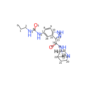 CCCNC(=O)Nc1ccc2[nH]nc(C(=O)N[C@H]3CN4CCC3CC4)c2c1